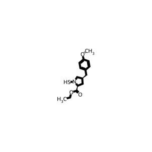 CCOC(=O)[C@@H]1C[C@H](Cc2ccc(OC)cc2)CN1S